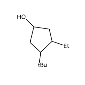 CCC1CC(O)CC1C(C)(C)C